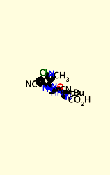 Cc1cc(-c2c(-c3cccc(C#N)c3)nn3ccc(C(=O)NC4(C#N)CCN(C(=O)O)C(C(C)(C)C)C4)nc23)cc(Cl)n1